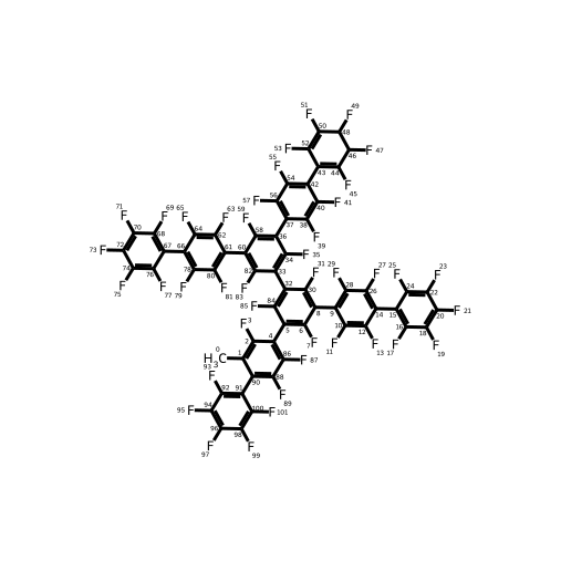 Cc1c(F)c(-c2c(F)c(-c3c(F)c(F)c(-c4c(F)c(F)c(F)c(F)c4F)c(F)c3F)c(F)c(-c3c(F)c(-c4c(F)c(F)c(C5=C(F)C(F)C(F)C(F)=C5F)c(F)c4F)c(F)c(-c4c(F)c(F)c(-c5c(F)c(F)c(F)c(F)c5F)c(F)c4F)c3F)c2F)c(F)c(F)c1-c1c(F)c(F)c(F)c(F)c1F